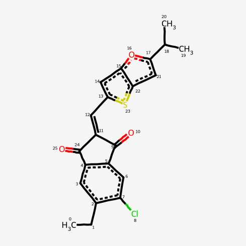 CCc1cc2c(cc1Cl)C(=O)/C(=C\c1cc3oc(C(C)C)cc3s1)C2=O